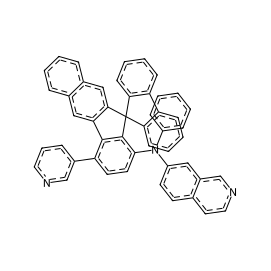 c1ccc(N(c2ccc3ccncc3c2)c2ccc(-c3cccnc3)c3c2C2(c4ccccc4-c4ccccc42)c2cc4ccccc4cc2-3)cc1